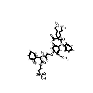 CCCCC1(CCCC)C(=O)Sc2cc(OCC(=O)NC(C(=O)NCCS(=O)(=O)O)c3ccccc3F)c(SC)cc2N(c2ccccc2)C1=O